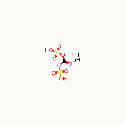 O=C(OS(=O)(=O)O)OS(=O)(=O)O.[LiH].[LiH]